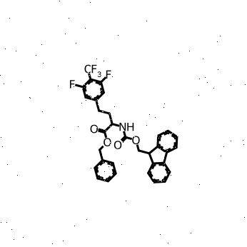 O=C(NC(CCc1cc(F)c(C(F)(F)F)c(F)c1)C(=O)OCc1ccccc1)OCC1c2ccccc2-c2ccccc21